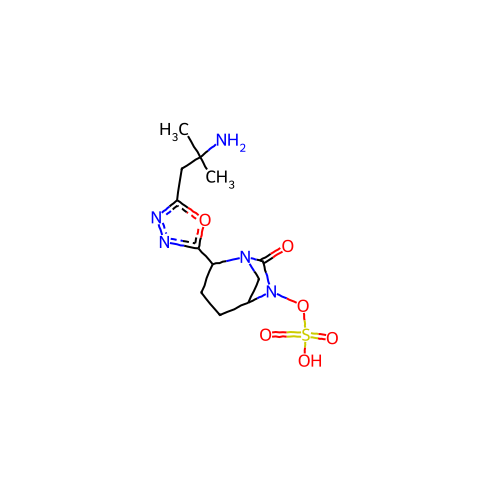 CC(C)(N)Cc1nnc(C2CCC3CN2C(=O)N3OS(=O)(=O)O)o1